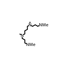 CNCCCN(C)CCCCN(C)CCCNC